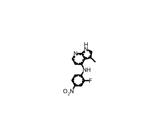 Cc1c[nH]c2nccc(Nc3ccc([N+](=O)[O-])cc3F)c12